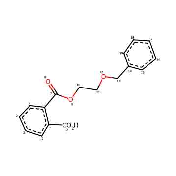 O=C(O)c1ccccc1C(=O)OCCOCc1ccccc1